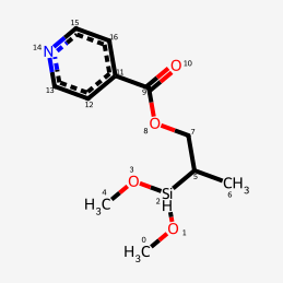 CO[SiH](OC)C(C)COC(=O)c1ccncc1